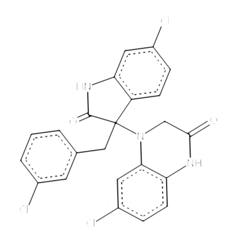 O=C1CN(C2(Cc3cccc(Cl)c3)C(=O)Nc3cc(Cl)ccc32)c2cc(Cl)ccc2N1